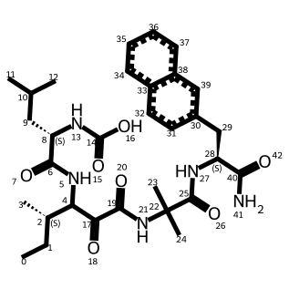 CC[C@H](C)C(NC(=O)[C@H](CC(C)C)NC(=O)O)C(=O)C(=O)NC(C)(C)C(=O)N[C@@H](Cc1ccc2ccccc2c1)C(N)=O